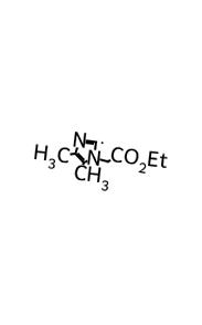 CCOC(=O)Cn1[c]nc(C)c1C